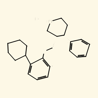 Cl.c1ccc([C@H]2CCNC[C@H]2COc2ccccc2C2CCCCC2)cc1